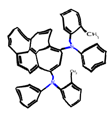 Cc1ccccc1N(c1ccccc1)c1cc(N(c2ccccc2)c2ccccc2C)c2ccc3cccc4ccc1c2c43